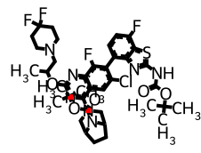 CC(CN1CCC(F)(F)CC1)Oc1nc(N2CC3CCC(C2)N3C(=O)OC(C)(C)C)c2cc(Cl)c(-c3ccc(F)c4sc(NC(=O)OC(C)(C)C)nc34)c(F)c2n1